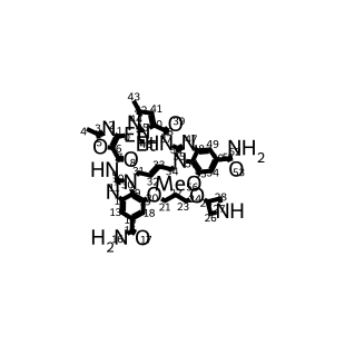 CCc1nc(C)oc1C(=O)Nc1nc2cc(C(N)=O)cc(OCCCOC3CNC3)c2n1CC=CCn1c(NC(=O)c2cc(C)nn2CC)nc2cc(C(N)=O)cc(OC)c21